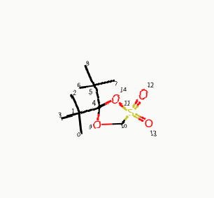 CC(C)(C)C1(C(C)(C)C)OCS(=O)(=O)O1